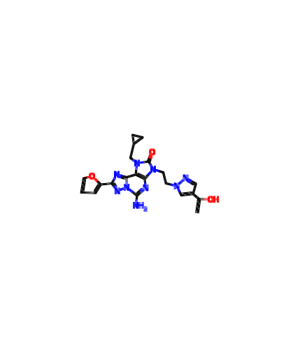 C=C(O)c1cnn(CCn2c(=O)n(CC3CC3)c3c2nc(N)n2nc(-c4ccco4)nc32)c1